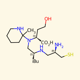 CCC(C)[C@@H](CN([C@@H](CCO)C(=O)O)C1(C)CCCCN1)NC[C@@H](N)CS